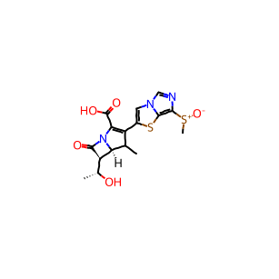 CC1C(c2cn3cnc([S+](C)[O-])c3s2)=C(C(=O)O)N2C(=O)[C@H]([C@@H](C)O)[C@H]12